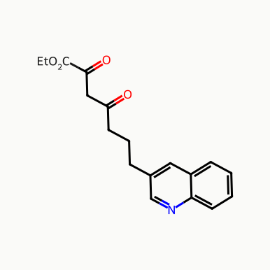 CCOC(=O)C(=O)CC(=O)CCCc1cnc2ccccc2c1